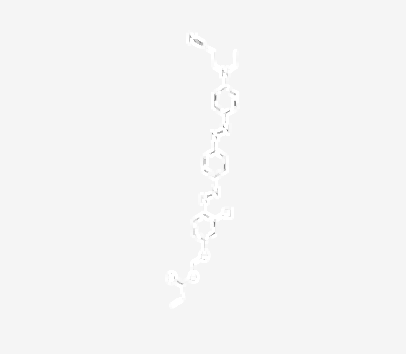 CCC(=O)OCOc1ccc(N=Nc2ccc(N=Nc3ccc(N(CC)CCC#N)cc3)cc2)c(Cl)c1